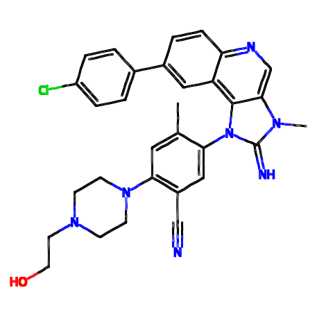 Cc1cc(N2CCN(CCO)CC2)c(C#N)cc1-n1c(=N)n(C)c2cnc3ccc(-c4ccc(Cl)cc4)cc3c21